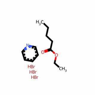 Br.Br.Br.CCCCC(=O)OCC.c1ccncc1